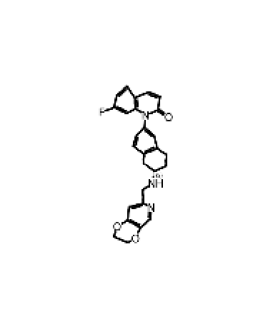 O=c1ccc2ccc(F)cc2n1-c1ccc2c(c1)CC[C@H](NCc1cc3c(cn1)OCCO3)C2